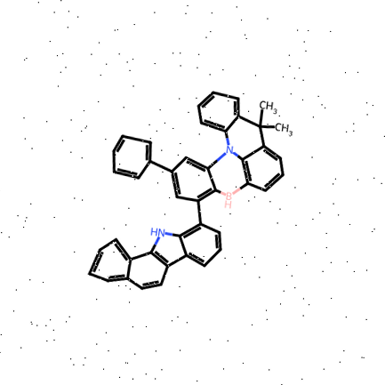 CC1(C)c2ccccc2N2c3cc(-c4ccccc4)cc(-c4cccc5c4[nH]c4c6ccccc6ccc54)c3Bc3cccc1c32